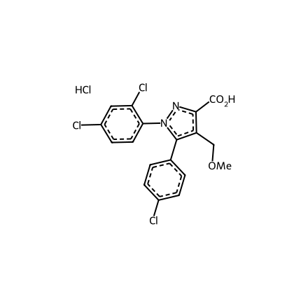 COCc1c(C(=O)O)nn(-c2ccc(Cl)cc2Cl)c1-c1ccc(Cl)cc1.Cl